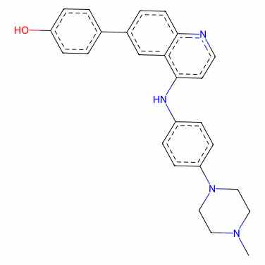 CN1CCN(c2ccc(Nc3ccnc4ccc(-c5ccc(O)cc5)cc34)cc2)CC1